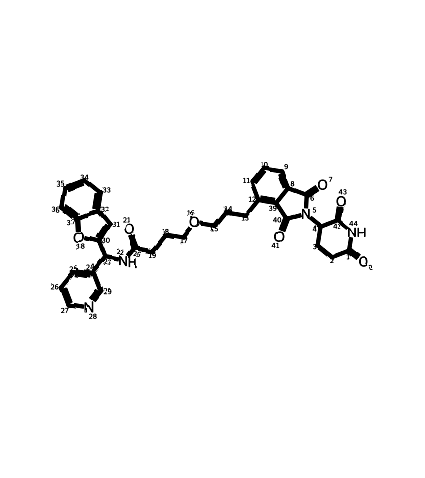 O=C1CCC(N2C(=O)c3cccc(CCCOCCCC(=O)NC(c4cccnc4)c4cc5ccccc5o4)c3C2=O)C(=O)N1